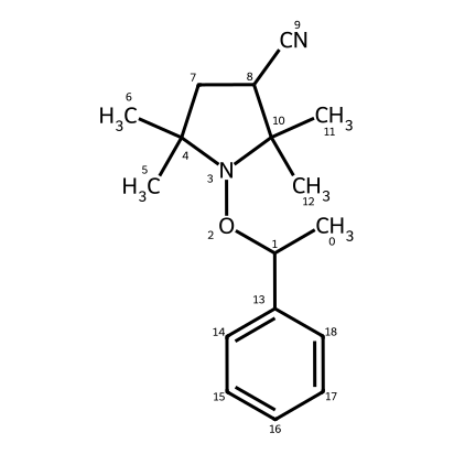 CC(ON1C(C)(C)CC(C#N)C1(C)C)c1ccccc1